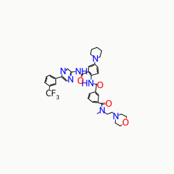 CN(CCN1CCOCC1)C(=O)c1cccc(C(=O)Nc2ccc(N3CCCCC3)cc2C(=O)Nc2cnc(-c3cccc(C(F)(F)F)c3)cn2)c1